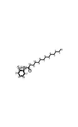 CCCCCCCCCCCCCC(=O)Nc1ccccc1[S]